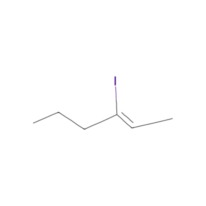 C/C=C(\I)CCC